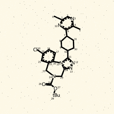 Cc1cnc(C)c(C2CCC(c3nnc4n3-c3ccc(Cl)cc3CN(C(=O)OC(C)(C)C)C4)CC2)n1